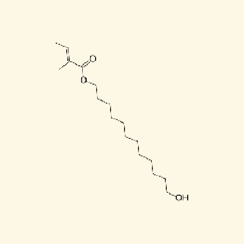 C/C=C(\C)C(=O)OCCCCCCCCCCCCO